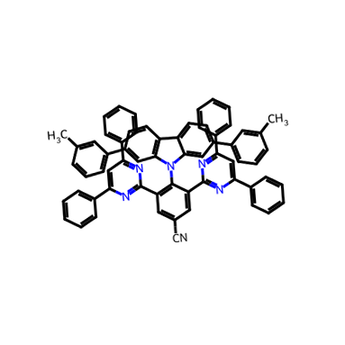 Cc1cccc(-c2ccc3c4ccc(-c5cccc(C)c5)cc4n(-c4c(-c5nc(-c6ccccc6)cc(-c6ccccc6)n5)cc(C#N)cc4-c4nc(-c5ccccc5)cc(-c5ccccc5)n4)c3c2)c1